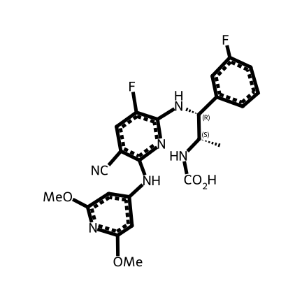 COc1cc(Nc2nc(N[C@H](c3cccc(F)c3)[C@H](C)NC(=O)O)c(F)cc2C#N)cc(OC)n1